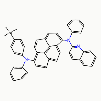 C[Si](C)(C)c1ccc(N(c2ccccc2)c2ccc3ccc4c(N(c5ccccc5)c5ccc6ccccc6n5)ccc5ccc2c3c54)cc1